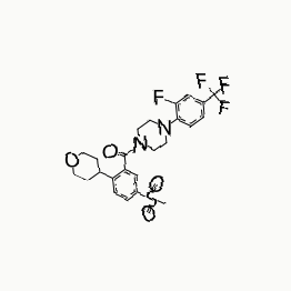 CS(=O)(=O)c1ccc(C2CCOCC2)c(C(=O)N2CCN(c3ccc(C(F)(F)F)cc3F)CC2)c1